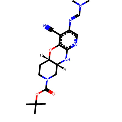 CN(C)/C=N/c1cnc2c(c1C#N)O[C@H]1CCN(C(=O)OC(C)(C)C)C[C@H]1N2